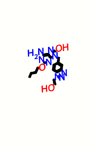 CCCCOc1nc(N)c2nc(O)n(Cc3ccc4c(c3)nnn4CCO)c2n1